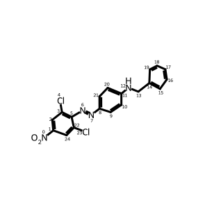 O=[N+]([O-])c1cc(Cl)c(N=Nc2ccc(NCc3ccccc3)cc2)c(Cl)c1